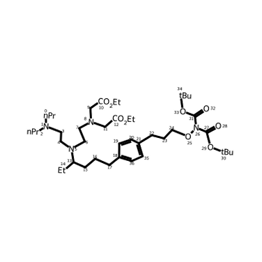 CCCN(CCC)CCN(CCN(CC(=O)OCC)CC(=O)OCC)C(CC)CCCc1ccc(CCCON(C(=O)OC(C)(C)C)C(=O)OC(C)(C)C)cc1